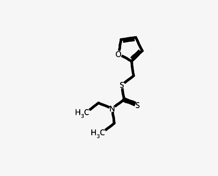 CCN(CC)C(=S)SCc1ccco1